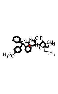 CC[C@]1(CO)O[C@@H](n2ccc(NC(c3ccccc3)(c3ccccc3)c3ccc(OC)cc3)nc2=O)[C@H](F)[C@@H]1C